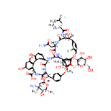 CN[C@H](CC(C)C)C(=O)N[C@H]1C(=O)N[C@@H](CC(N)=O)C(=O)N[C@H]2C(=O)N[C@H]3C(=O)N[C@H](C(=O)N[C@@H](C(=O)O)c4cc(O)cc(O)c4-c4cc3ccc4O)[C@H](O[C@@H]3C[C@@](C)(N)[C@H](O)[C@@H](C)O3)c3ccc(cc3)Oc3cc2cc(c3O[C@H]2O[C@@H](CO)[C@H](O)[C@@H](O)[C@@H]2O[C@H]2C[C@](C)(N)[C@@H](O)[C@H](C)O2)Oc2ccc(cc2Cl)[C@H]1O